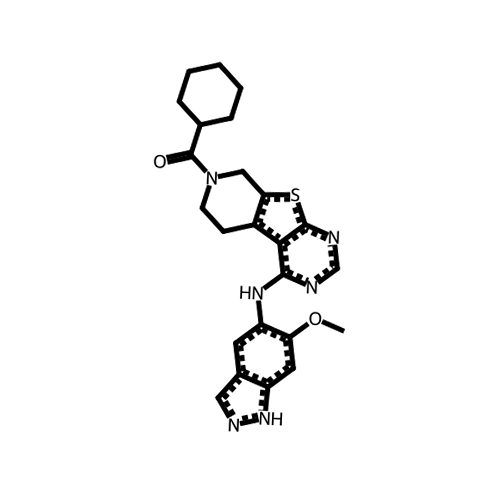 COc1cc2[nH]ncc2cc1Nc1ncnc2sc3c(c12)CCN(C(=O)C1CCCCC1)C3